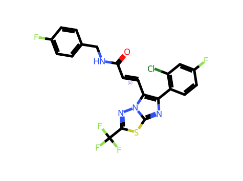 O=C(/C=C/c1c(-c2ccc(F)cc2Cl)nc2sc(C(F)(F)F)nn12)NCc1ccc(F)cc1